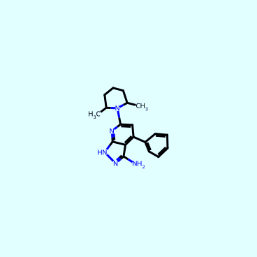 CC1CCCC(C)N1c1cc(-c2ccccc2)c2c(N)n[nH]c2n1